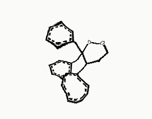 c1ccc(C2CCOOC2(c2ccccc2)c2ccccc2)cc1